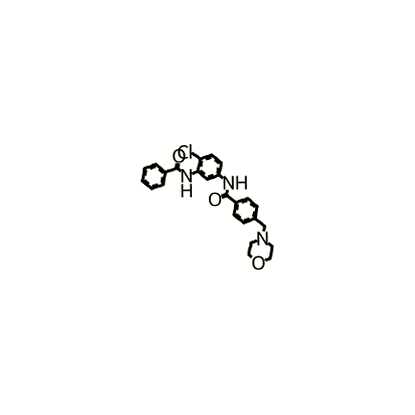 O=C(Nc1ccc(Cl)c(NC(=O)c2ccccc2)c1)c1ccc(CN2CCOCC2)cc1